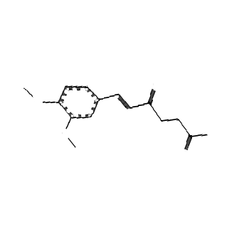 COc1ccc(C=CC(=O)CCC(C)=O)cc1OC